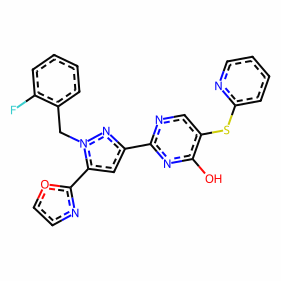 Oc1nc(-c2cc(-c3ncco3)n(Cc3ccccc3F)n2)ncc1Sc1ccccn1